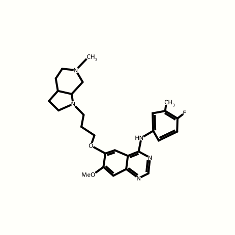 COc1cc2ncnc(Nc3ccc(F)c(C)c3)c2cc1OCCCN1CCC2CCN(C)CC21